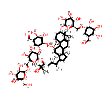 CC[C@@]12CCC([C@H](C)CC[C@@H](O[C@@H]3O[C@H](CO[C@H]4O[C@H](CO)[C@@H](O)[C@H](O)[C@H]4O)[C@@H](O)[C@H](O)[C@H]3O[C@@H]3C[C@H](CO)[C@@H](O)[C@H](O)[C@H]3O)C(C)(C)O)[C@@]1(C)C[C@@H](O)[C@@]1(C)C3CC[C@H](O[C@@H]4O[C@H](CO[C@H]5C[C@H](CO)[C@@H](O)[C@H](O)[C@H]5O)[C@@H](O)[C@H](O)[C@H]4O)C(C)(C)C3=CCC12